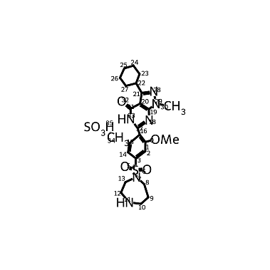 COc1cc(S(=O)(=O)N2CCCNCC2)ccc1-c1nc2c(c(C3CCCCC3)nn2C)c(=O)[nH]1.CS(=O)(=O)O